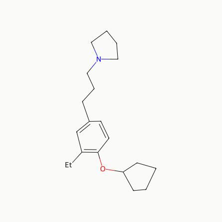 CCc1cc(CCCN2CCCC2)ccc1OC1CCCC1